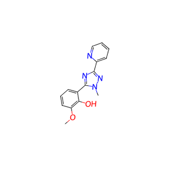 COc1cccc(-c2nc(-c3ccccn3)nn2C)c1O